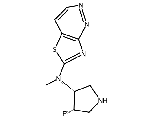 CN(c1nc2nnccc2s1)[C@@H]1CNC[C@@H]1F